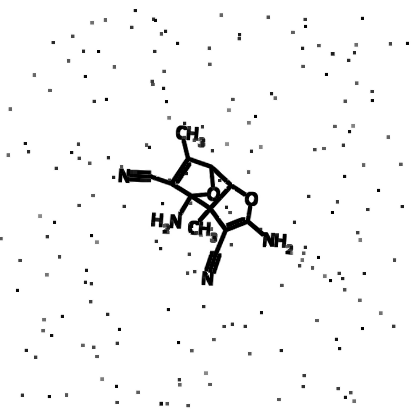 CC1=C(C#N)C2(N)OC1C1OC(N)=C(C#N)C12C